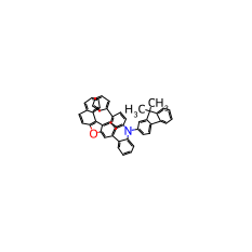 CC1(C)c2ccccc2-c2ccc(N(c3ccc(-c4ccccc4)cc3)c3ccccc3-c3ccc4c(c3)oc3ccc5ccccc5c34)cc21